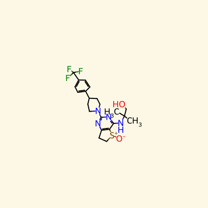 CC(C)(CO)Nc1nc(N2CCC(c3ccc(C(F)(F)F)cc3)CC2)nc2c1[S+]([O-])CC2